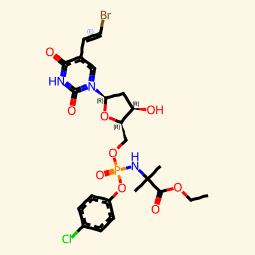 CCOC(=O)C(C)(C)NP(=O)(OC[C@H]1O[C@@H](n2cc(/C=C/Br)c(=O)[nH]c2=O)C[C@H]1O)Oc1ccc(Cl)cc1